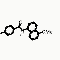 COc1cccc2c(NC(=O)c3ccc(F)cc3)cccc12